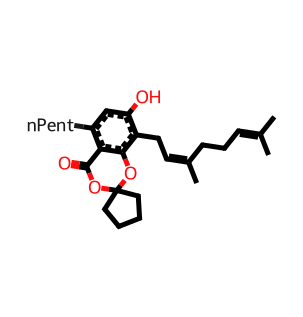 CCCCCc1cc(O)c(CC=C(C)CCC=C(C)C)c2c1C(=O)OC1(CCCC1)O2